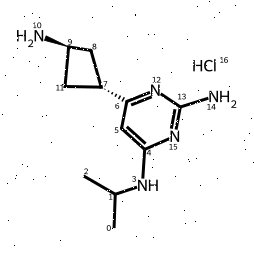 CC(C)Nc1cc([C@H]2C[C@H](N)C2)nc(N)n1.Cl